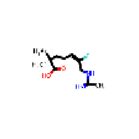 CC(=N)NC/C(F)=C\CC[C@](C)([AsH2])C(=O)O